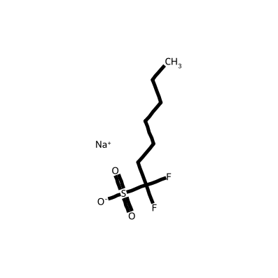 CCCCCCC(F)(F)S(=O)(=O)[O-].[Na+]